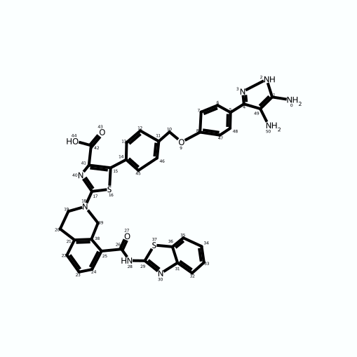 Nc1[nH]nc(-c2ccc(OCc3ccc(-c4sc(N5CCc6cccc(C(=O)Nc7nc8ccccc8s7)c6C5)nc4C(=O)O)cc3)cc2)c1N